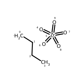 [CH2]CCC.[O]=[Zr](=[O])(=[O])(=[O])=[O]